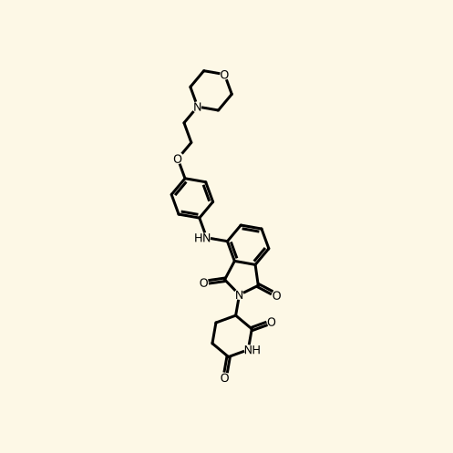 O=C1CCC(N2C(=O)c3cccc(Nc4ccc(OCCN5CCOCC5)cc4)c3C2=O)C(=O)N1